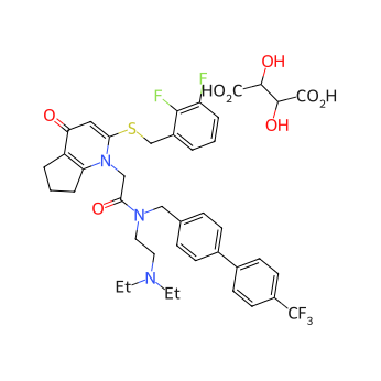 CCN(CC)CCN(Cc1ccc(-c2ccc(C(F)(F)F)cc2)cc1)C(=O)Cn1c(SCc2cccc(F)c2F)cc(=O)c2c1CCC2.O=C(O)C(O)C(O)C(=O)O